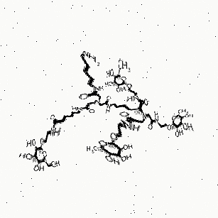 C[C@@H]1O[C@@H](OCCNC(=O)CN(CC(=O)NCCO[C@@H]2O[C@@H](C)[C@@H](O)[C@@H](O)[C@@H]2O)[C@@H](CCCCNC(=O)CN(CC(=O)NCCCCCN)CC(=O)NCCCCCC(=O)NCCO[C@@H]2O[C@@H](CO)[C@H](O)[C@@H](O)[C@H]2O)C(=O)NCCO[C@@H]2O[C@@H](C)[C@@H](O)[C@@H](O)[C@@H]2O)[C@@H](O)[C@H](O)[C@@H]1O